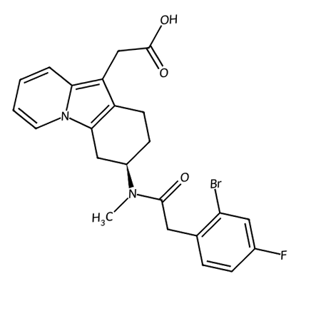 CN(C(=O)Cc1ccc(F)cc1Br)[C@@H]1CCc2c(CC(=O)O)c3ccccn3c2C1